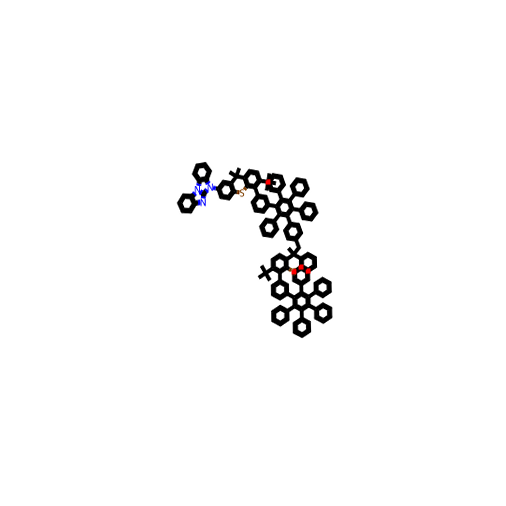 CC(C)(C)c1ccc2c(c1-c1cccc(-c3c(-c4ccccc4)c(-c4ccccc4)c(-c4ccccc4)c(-c4ccc(CC5(C)c6ccccc6Sc6c5ccc(C(C)(C)C)c6-c5cccc(-c6c(-c7ccccc7)c(-c7ccccc7)c(-c7ccccc7)c(-c7ccccc7)c6-c6ccccc6)c5)cc4)c3-c3ccccc3)c1)Sc1ccc(-n3c4ccccc4n4c5ccccc5nc34)cc1C2(C)C